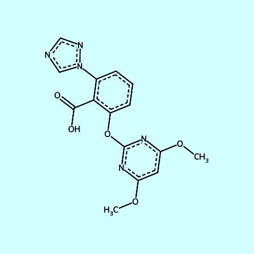 COc1cc(OC)nc(Oc2cccc(-n3cncn3)c2C(=O)O)n1